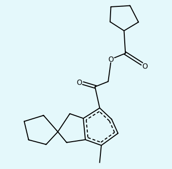 Cc1ccc(C(=O)COC(=O)C2CCCC2)c2c1CC1(CCCC1)C2